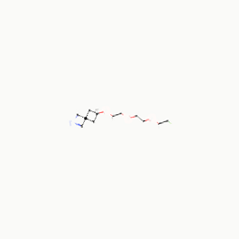 FCCOCCOCCOC1CC2(CNC2)C1